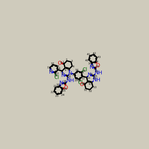 O=C1CCCC2=C1C(c1cccnc1Cl)N=C(Nc1nc3ccccc3o1)N2c1cc(Cl)c(C2N=C(Nc3nc4ccccc4o3)NC3=C2C(=O)CCC3)c(Cl)c1